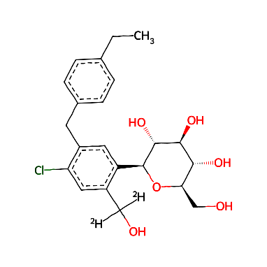 [2H]C([2H])(O)c1cc(Cl)c(Cc2ccc(CC)cc2)cc1[C@@H]1O[C@H](CO)[C@@H](O)[C@H](O)[C@H]1O